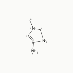 CN1C=C(N)[N]C1